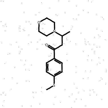 CSc1ccc(C(=O)CC(C)N2CCOCC2)cc1